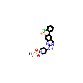 CS(=O)(=O)N1CCC(Nc2ncc3cc(-c4ccccc4Cl)c(O)cc3n2)CC1